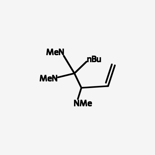 C=CC(NC)C(CCCC)(NC)NC